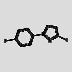 Fc1ccc(-n2ccc(I)n2)cc1